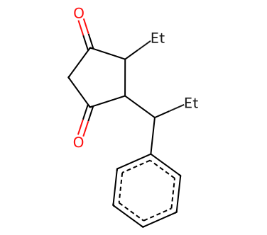 CCC1C(=O)CC(=O)C1C(CC)c1ccccc1